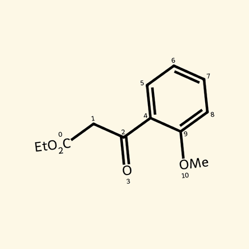 CCOC(=O)CC(=O)c1ccccc1OC